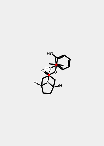 CC(C)(C)OC(=O)N1[C@@H]2CC[C@H]1C[C@@H](Nc1ccccc1O)C2